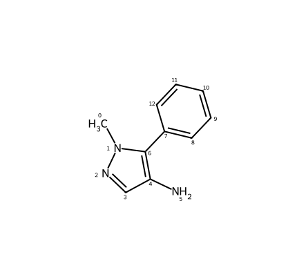 Cn1ncc(N)c1-c1ccccc1